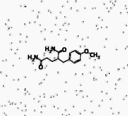 COc1ccc(CC(CCC(N)=O)C(N)=O)cc1